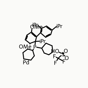 COC1=C(c2ccc(C(C)C)cc2C(C)C)C(C(C)C)(P(C2CCCCC2)C2CCCCC2)C(OC)C=C1.O=S(=O)(O)C(F)(F)F.[Pd]